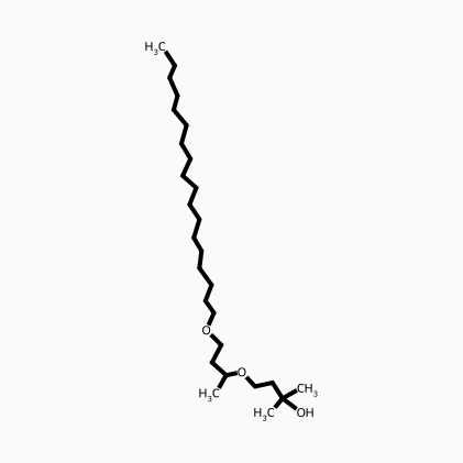 CCCCCCCCCCCCCCCCCCOCCC(C)OCCC(C)(C)O